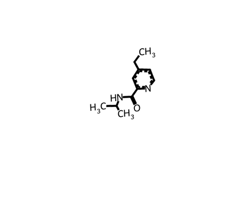 CCc1ccnc(C(=O)NC(C)C)c1